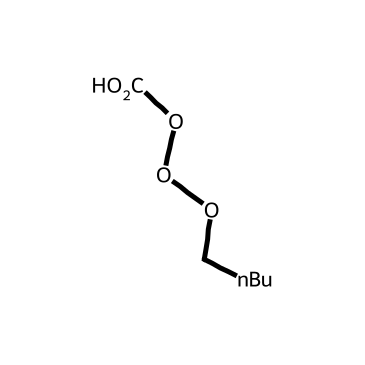 CCCCCOOOC(=O)O